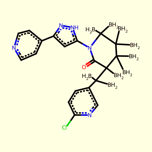 BC(B)(c1ccc(Cl)nc1)C1(B)C(=O)N(c2cc(-c3ccncc3)n[nH]2)C(B)(B)C(B)(B)C1(B)B